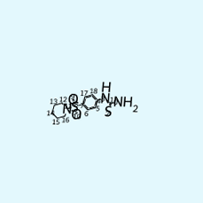 NC(=S)Nc1ccc(S(=O)(=O)N2CCCCC2)cc1